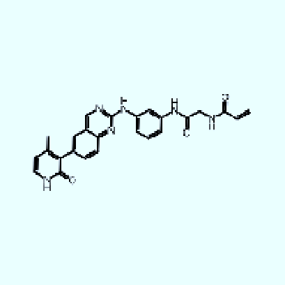 C=CC(=O)NCC(=O)Nc1cccc(Nc2ncc3cc(-c4c(C)cc[nH]c4=O)ccc3n2)c1